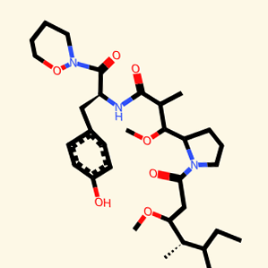 CCC(C)[C@H](C)C(CC(=O)N1CCCC1C(OC)C(C)C(=O)N[C@@H](Cc1ccc(O)cc1)C(=O)N1CCCCO1)OC